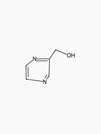 OCc1[c]nccn1